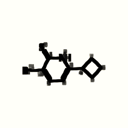 S=c1[nH]c(C2CCC2)ccc1Br